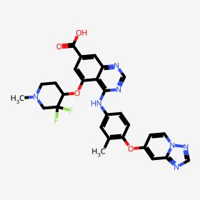 Cc1cc(Nc2ncnc3cc(C(=O)O)cc(OC4CCN(C)CC4(F)F)c23)ccc1Oc1ccn2ncnc2c1